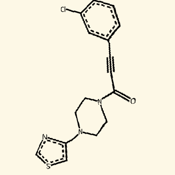 O=C(C#Cc1cccc(Cl)c1)N1CCN(c2cscn2)CC1